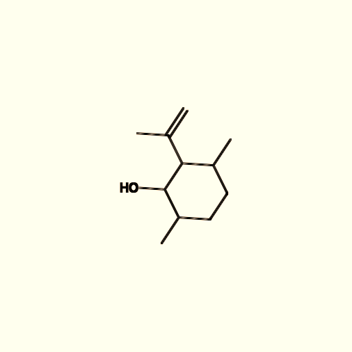 C=C(C)C1C(C)CCC(C)C1O